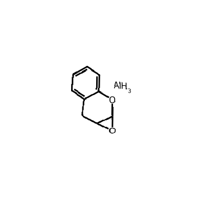 [AlH3].c1ccc2c(c1)CC1OC1O2